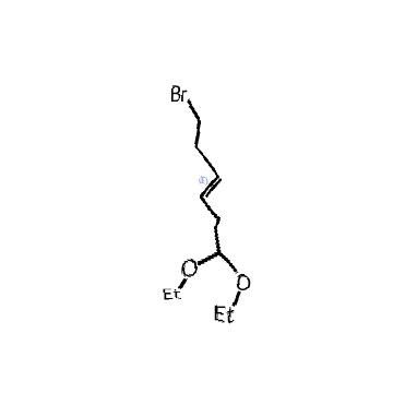 CCOC(C/C=C/CCBr)OCC